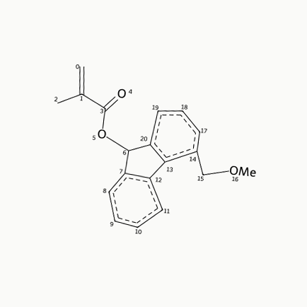 C=C(C)C(=O)OC1c2ccccc2-c2c(COC)cccc21